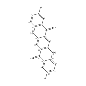 Cc1[c]c2c(=O)c3cc4[nH]c5ccc(C)cc5c(=O)c4cc3[nH]c2cc1